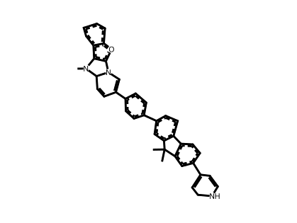 CN1c2c(oc3ccccc23)N2C=C(c3ccc(-c4ccc5c(c4)C(C)(C)c4cc(C6=CCNC=C6)ccc4-5)cc3)C=CC12